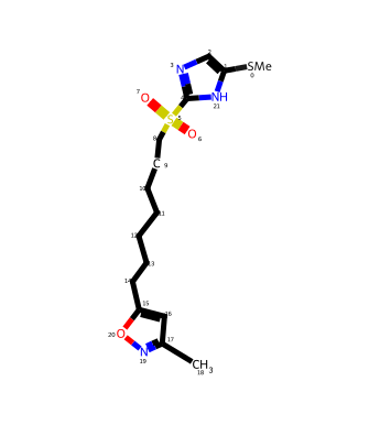 CSc1cnc(S(=O)(=O)CCCCCCCc2cc(C)no2)[nH]1